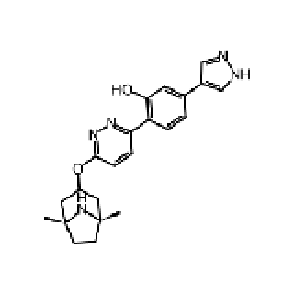 C[C@]12CC[C@](C)(CC(Oc3ccc(-c4ccc(-c5cn[nH]c5)cc4O)nn3)C1)N2